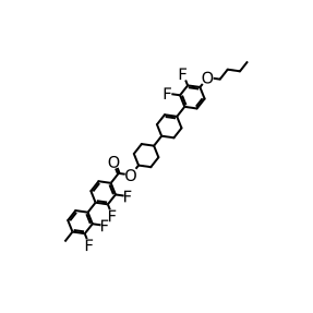 CCCCOc1ccc(C2=CCC(C3CCC(OC(=O)c4ccc(-c5ccc(C)c(F)c5F)c(F)c4F)CC3)CC2)c(F)c1F